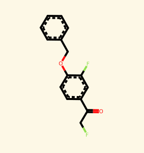 O=C(CF)c1ccc(OCc2ccccc2)c(F)c1